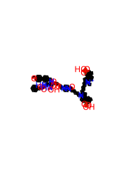 CC[N+]1=C(/C=C/C=C/C=C2/N(CCCCCC(=O)N3CCN(CCOCCON(Cc4ccc(-c5ccc(OC)cc5)cc4)[C@H](CCNC(=O)OCc4ccccc4)C(=O)NO)CC3)c3ccc4c(S(=O)(=O)O)cc(C)cc4c3C2(C)C)C(C)(C)c2c1ccc1c(C)cc(S(=O)(=O)O)cc21